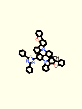 N#Cc1ccc(-n2c3ccccc3c3c4oc5ccccc5c4ccc32)c(-c2ccc(-c3nc(-c4ccccc4)nc(-c4ccccc4)n3)cc2-n2c3ccccc3c3c4oc5ccccc5c4ccc32)c1